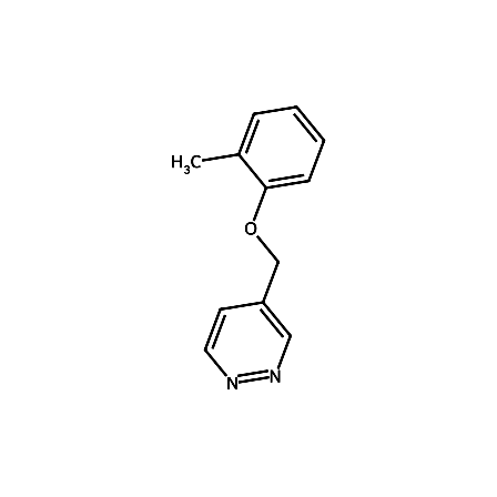 Cc1ccccc1OCc1ccnnc1